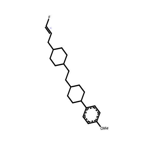 COc1ccc(C2CCC(CCC3CCC(C/C=C/F)CC3)CC2)cc1